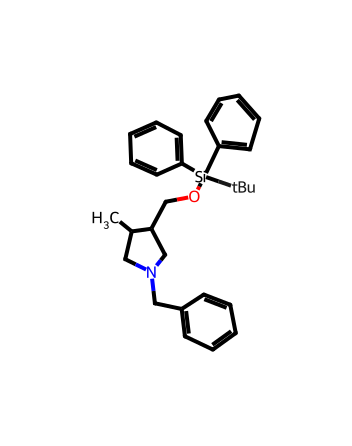 CC1CN(Cc2ccccc2)CC1CO[Si](c1ccccc1)(c1ccccc1)C(C)(C)C